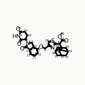 COC(=O)C(c1nc(COc2cccc3c2CN(C2CCC(=O)NC2=O)C3=O)cs1)C12CC3CC(CC(C3)C1)C2